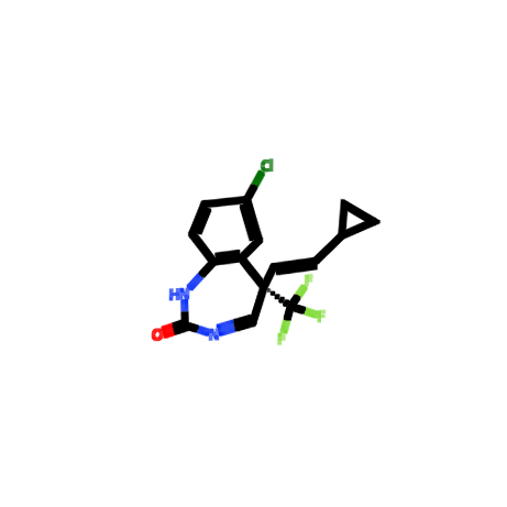 O=C1N=C[C@@](/C=C/C2CC2)(C(F)(F)F)c2cc(Cl)ccc2N1